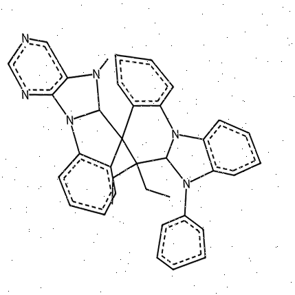 CCC1(CC)C2N(c3ccccc3)c3ccccc3N2c2ccccc2C12c1ccccc1N1c3ncncc3N(C)C12